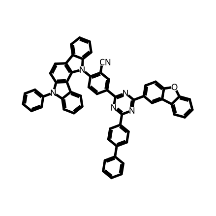 N#Cc1cc(-c2nc(-c3ccc(-c4ccccc4)cc3)nc(-c3ccc4oc5ccccc5c4c3)n2)ccc1-n1c2ccccc2c2ccc3c(c4ccccc4n3-c3ccccc3)c21